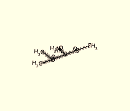 CCCCCCCCCOC(=O)CCCCCCCN(CCCCCCCC(=O)OC(CCCCCCCC)CCCCCCCC)CCCNC(N)=O